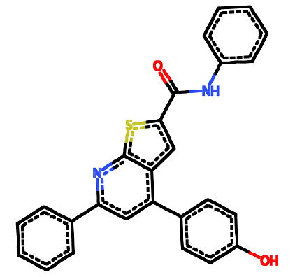 O=C(Nc1ccccc1)c1cc2c(-c3ccc(O)cc3)cc(-c3ccccc3)nc2s1